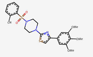 COc1cc(-c2csc(N3CCN(S(=O)(=O)c4ccccc4C#N)CC3)n2)cc(OC)c1OC